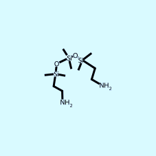 C[Si](C)(CCN)O[Si](C)(C)O[Si](C)(C)CCN